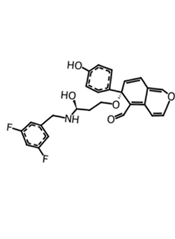 O=CC1=C2C=COC=C2C=C[C@]1(OCC[C@H](O)NCc1cc(F)cc(F)c1)c1ccc(O)cc1